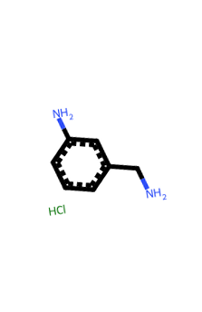 Cl.NCc1cccc(N)c1